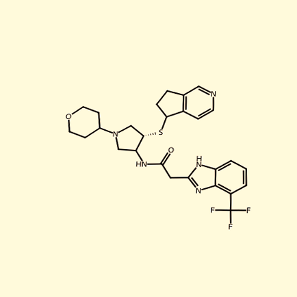 O=C(Cc1nc2c(C(F)(F)F)cccc2[nH]1)NC1CN(C2CCOCC2)C[C@@H]1SC1CCc2cnccc21